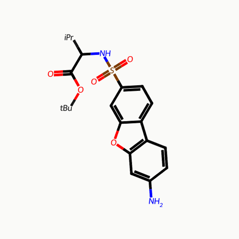 CC(C)C(NS(=O)(=O)c1ccc2c(c1)oc1cc(N)ccc12)C(=O)OC(C)(C)C